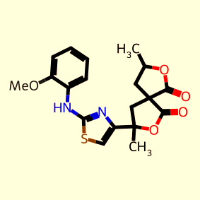 COc1ccccc1Nc1nc(C2(C)CC3(CC(C)OC3=O)C(=O)O2)cs1